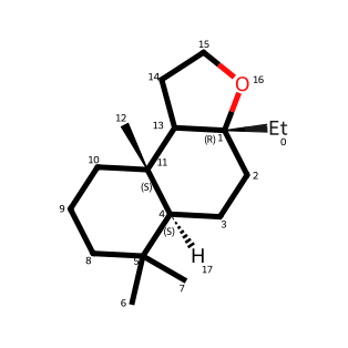 CC[C@@]12CC[C@H]3C(C)(C)CCC[C@]3(C)C1CCO2